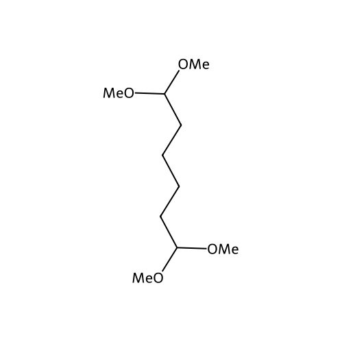 COC(CCCCC(OC)OC)OC